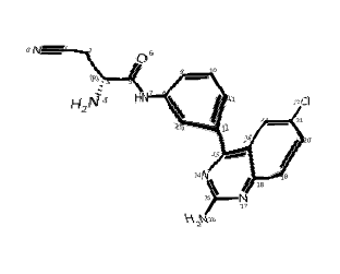 N#CC[C@@H](N)C(=O)Nc1cccc(-c2nc(N)nc3ccc(Cl)cc23)c1